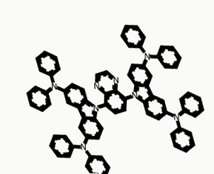 c1ccc(N(c2ccccc2)c2ccc3c(c2)c2cc(N(c4ccccc4)c4ccccc4)ccc2n3-c2ccc(-n3c4ccc(N(c5ccccc5)c5ccccc5)cc4c4cc(N(c5ccccc5)c5ccccc5)ccc43)c3nccnc23)cc1